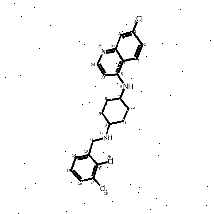 Clc1ccc2c(NC3CCC(NCc4cccc(Cl)c4Cl)CC3)ccnc2c1